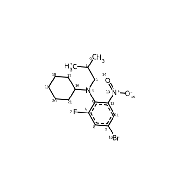 CC(C)CN(c1c(F)cc(Br)cc1[N+](=O)[O-])C1CCCCC1